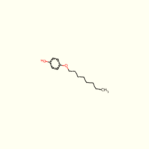 CCCCCCCCOc1ccc(O)cc1